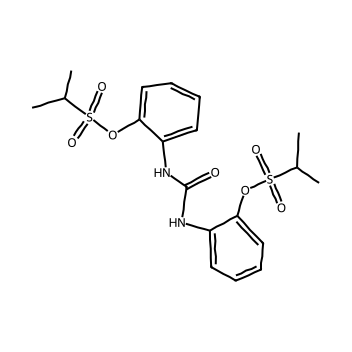 CC(C)S(=O)(=O)Oc1ccccc1NC(=O)Nc1ccccc1OS(=O)(=O)C(C)C